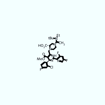 C=C(N1CCN(CC2=C(C(=O)OC)[C@H](c3ccc(F)cc3Cl)N=C(c3ncc(F)cc3F)N2)[C@H](C(=O)O)C1)N(CC)C(C)(C)C